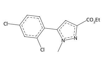 CCOC(=O)c1cc(-c2ccc(Cl)cc2Cl)n(C)n1